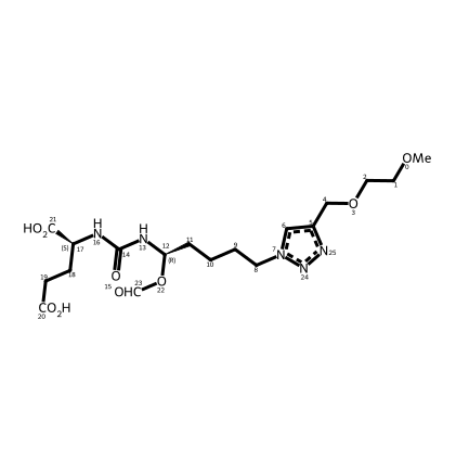 COCCOCc1cn(CCCC[C@H](NC(=O)N[C@@H](CCC(=O)O)C(=O)O)OC=O)nn1